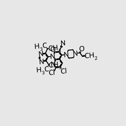 C=CC(=O)N1CCN(c2c(C#N)c(=O)n(-c3c(C(C)C)ncnc3C(C)C)c3nc(Cl)c(Cl)cc23)CC1